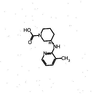 Cc1cccnc1N[C@@H]1CCCN(C(=O)O)C1